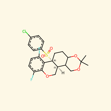 CC1(C)OCC2C(CC[C@]3(S(=O)(=O)c4ccc(Cl)cc4)c4c(F)ccc(F)c4OC[C@H]23)O1